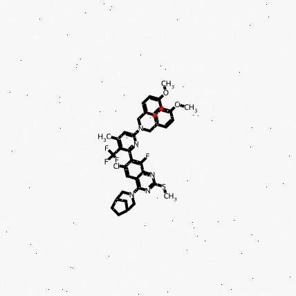 COc1ccc(CN(Cc2ccc(OC)cc2)c2cc(C)c(C(F)(F)F)c(-c3c(Cl)cc4c(N5CC6CCC(C6)C5)nc(SC)nc4c3F)n2)cc1